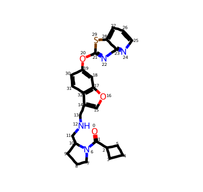 O=C(C1CCC1)N1CCCC1CNCc1coc2cc(Oc3nc4ncccc4s3)ccc12